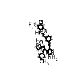 CN1CCC(n2c(-c3nc(N)ncc3C#Cc3cccc(CC(=O)Nc4ccc(Cl)c(C(F)(F)F)c4)c3)cc3c2CCNC3=O)CC1